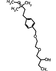 CCC(O)COCCOCc1ccc(CC[Si](C)(C)OC)cc1